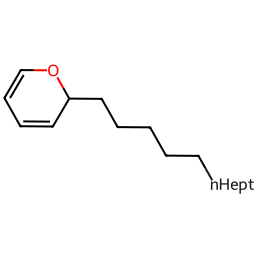 CCCCCCCCCCCCC1C=CC=CO1